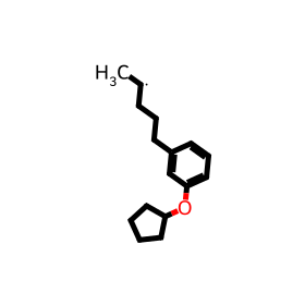 C[CH]CCCc1cccc(OC2CCCC2)c1